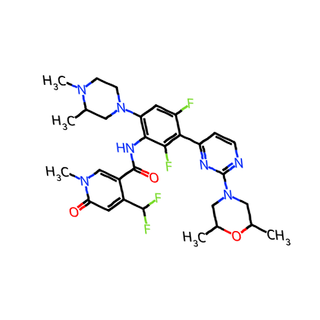 CC1CN(c2nccc(-c3c(F)cc(N4CCN(C)C(C)C4)c(NC(=O)c4cn(C)c(=O)cc4C(F)F)c3F)n2)CC(C)O1